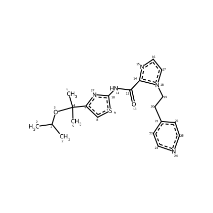 CC(C)OC(C)(C)c1csc(NC(=O)c2nccn2CCc2ccncc2)n1